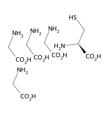 NCC(=O)O.NCC(=O)O.NCC(=O)O.NCC(=O)O.N[C@@H](CS)C(=O)O